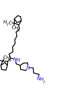 CC1(C)C2CCC(C2)C1CCCCCCCCC(NCC1CCN(CCCN)CC1)C1C2CCC(C2)C1(C)C